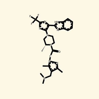 Cc1nn(CC(=O)N2CCN(c3sc(C(F)(F)F)nc3-c3nc4ccccc4[nH]3)C[C@H]2C)c(C)c1CN(C)C